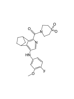 COc1cc(Nc2cnc(C(=O)N3CCS(=O)(=O)CC3)c3c2C2CCC3C2)ccc1F